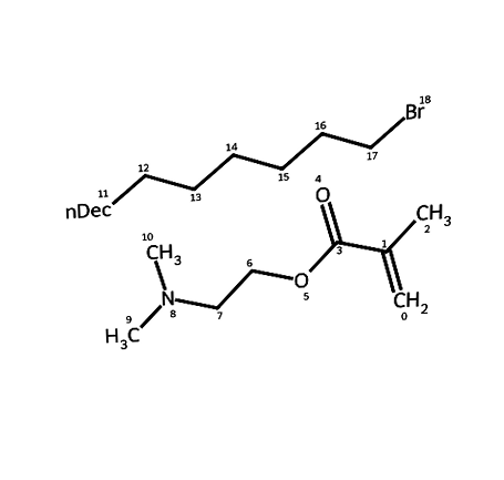 C=C(C)C(=O)OCCN(C)C.CCCCCCCCCCCCCCCCBr